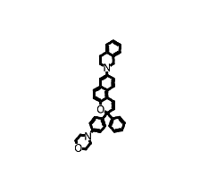 C1=CC(c2ccccc2)(c2ccc(N3CCOCC3)cc2)Oc2ccc3cc(N4CCc5ccccc5C4)ccc3c21